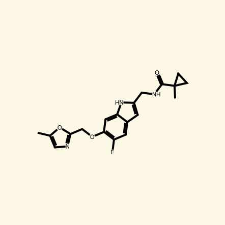 Cc1cnc(COc2cc3[nH]c(CNC(=O)C4(C)CC4)cc3cc2F)o1